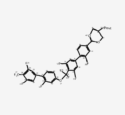 CCCCCC1COC(c2ccc(-c3cc(F)c(C(F)(F)Oc4ccc(-c5cc(F)c(C(F)(F)F)c(F)c5)c(F)c4)c(F)c3)c(F)c2)OC1